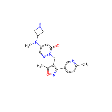 Cc1ccc(-c2noc(C)c2Cn2ncc(N(C)C3CNC3)cc2=O)cn1